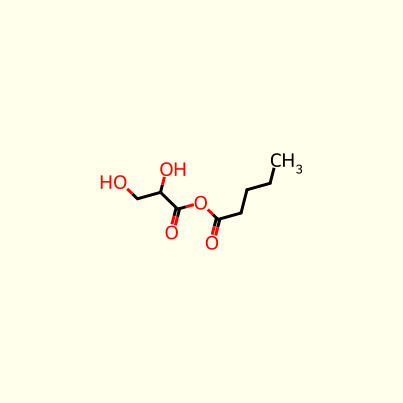 CCCCC(=O)OC(=O)C(O)CO